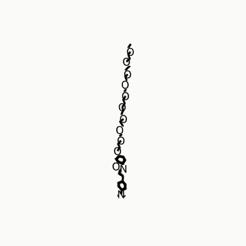 CCOCCOCCOCCOCCOCCOCCOCCOCCOCCOc1ccc2nc(/C=C/c3ccc(N(C)C)cc3)oc2c1